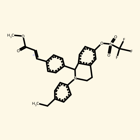 CCc1ccc(N2CCc3cc(OS(=O)(=O)C(F)(F)F)ccc3C2c2ccc(/C=C/C(=O)OC)cc2)cc1